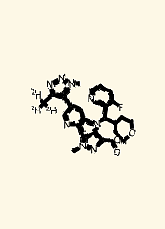 [2H]C([2H])([2H])c1nnn(C)c1-c1cnc2c3c(c(C(=O)O)nn3C)n(C(c3ncccc3F)C3CCOCC3)c2c1